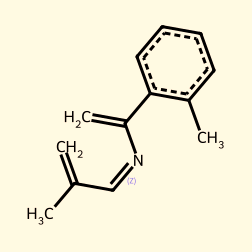 C=C(C)/C=N\C(=C)c1ccccc1C